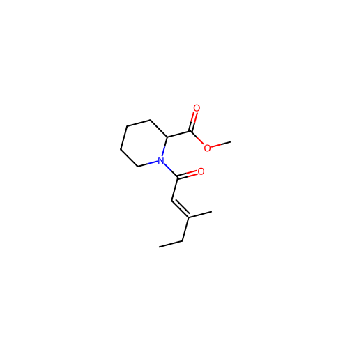 CC/C(C)=C/C(=O)N1CCCCC1C(=O)OC